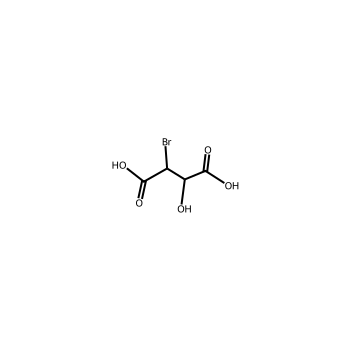 O=C(O)C(O)C(Br)C(=O)O